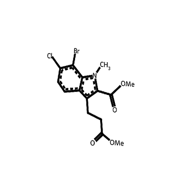 COC(=O)CCc1c(C(=O)OC)n(C)c2c(Br)c(Cl)ccc12